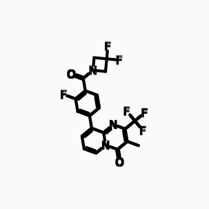 Cc1c(C(F)(F)F)nc2c(-c3ccc(C(=O)N4CC(F)(F)C4)c(F)c3)cccn2c1=O